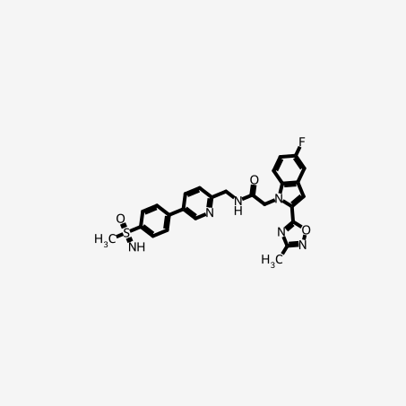 Cc1noc(-c2cc3cc(F)ccc3n2CC(=O)NCc2ccc(-c3ccc(S(C)(=N)=O)cc3)cn2)n1